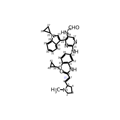 CN1CCCC1/C=C/C(=O)Nc1cc(Nc2ncc(NC=O)c(-c3cn(C4CC4)c4ccccc34)n2)ccc1OC1CC1